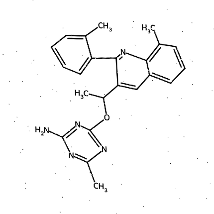 Cc1nc(N)nc(OC(C)c2cc3cccc(C)c3nc2-c2ccccc2C)n1